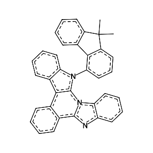 CC1(C)c2ccccc2-c2c(-n3c4ccccc4c4c5ccccc5c5nc6ccccc6n5c43)cccc21